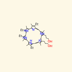 CCC1=C(C)C2=N/C1=C\c1[nH]c(c(CCCO)c1C)C1=N/C(=C\c3[nH]c(c(C)c3CC)-c3[nH]c(c(CC)c3C)-c3[nH]c2c(C)c3CC)C(C)=C1CCCO